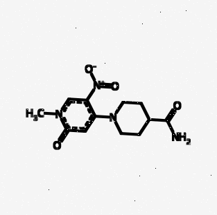 Cn1cc([N+](=O)[O-])c(N2CCC(C(N)=O)CC2)cc1=O